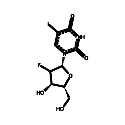 O=c1[nH]c(=O)n([C@@H]2O[C@H](CO)[C@@H](O)C2F)cc1I